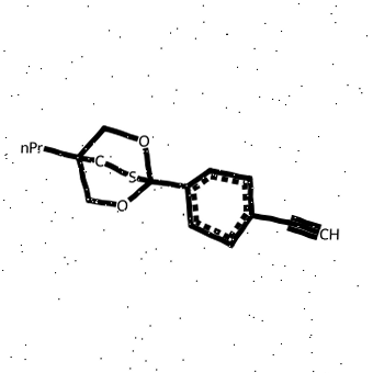 C#Cc1ccc(C23OCC(CCC)(CO2)CS3)cc1